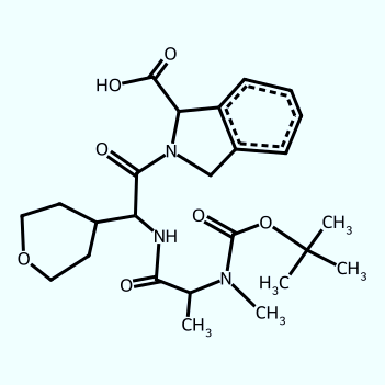 CC(C(=O)NC(C(=O)N1Cc2ccccc2C1C(=O)O)C1CCOCC1)N(C)C(=O)OC(C)(C)C